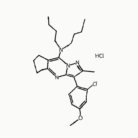 CCCCN(CCCC)c1c2c(nc3c(-c4ccc(OC)cc4Cl)c(C)nn13)CCC2.Cl